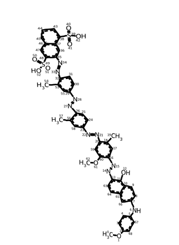 COc1ccc(Nc2ccc3c(O)c(N=Nc4cc(C)c(N=Nc5ccc(N=Nc6ccc(N=Nc7cc8c(S(=O)(=O)O)cccc8cc7S(=O)(=O)O)c(C)c6)c(C)c5)cc4OC)ccc3c2)cc1